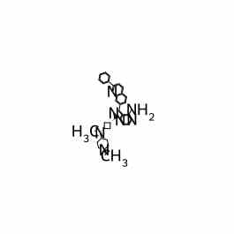 CN1CCC(N(C)[C@H]2C[C@@H](c3nc(-c4ccc5ccc(-c6ccccc6)nc5c4)c4c(N)nccn43)C2)CC1